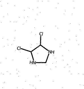 ClC1NCNC1Cl